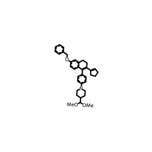 COC(OC)C1CCN(c2ccc(C3=C(C4=CCCC4)CCc4cc(OCc5ccccc5)ccc43)cc2)CC1